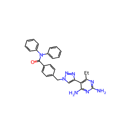 CCc1nc(N)nc(N)c1-c1cn(Cc2ccc(C(=O)N(c3ccccc3)c3ccccc3)cc2)nn1